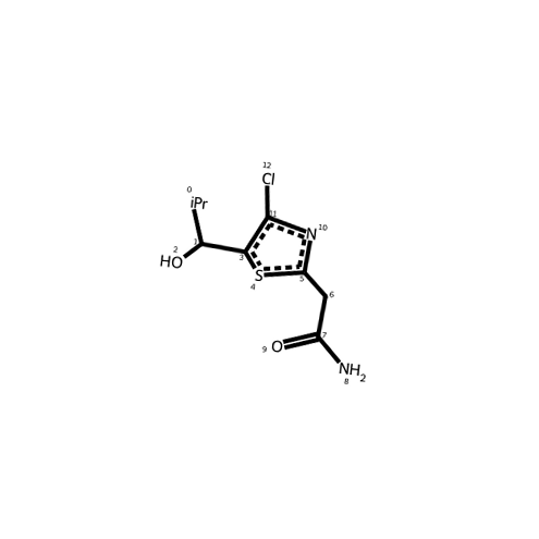 CC(C)C(O)c1sc(CC(N)=O)nc1Cl